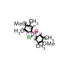 COc1c(C)cc(P(=O)(Br)c2cc(C)c(OC)c(C)c2)cc1C